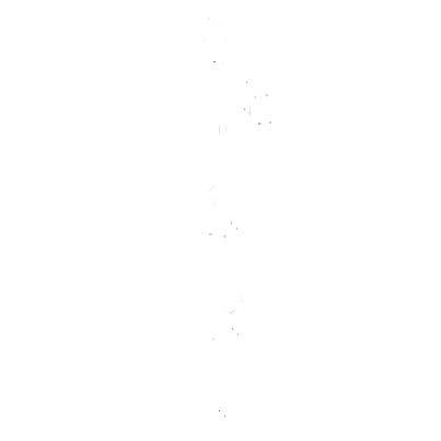 Cc1ccc2c(c1)[C@@]1(C)CCCC(C)(C(=O)NC(=O)[C@@]3(C)CCCC4(C)c5cc(NC(=O)OCc6ccc(NC(=O)CCCCN)cc6)ccc5CCC43)C1CC2